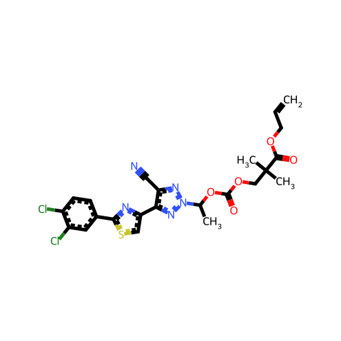 C=CCOC(=O)C(C)(C)COC(=O)OC(C)n1nc(C#N)c(-c2csc(-c3ccc(Cl)c(Cl)c3)n2)n1